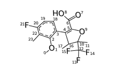 COc1c(C2=C(C(=O)O)OC(C)(C(F)(F)F)C2C)ccc(F)c1C